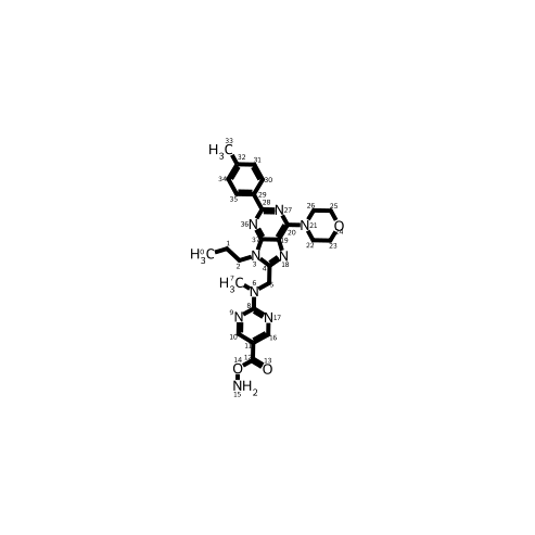 CCCn1c(CN(C)c2ncc(C(=O)ON)cn2)nc2c(N3CCOCC3)nc(-c3ccc(C)cc3)nc21